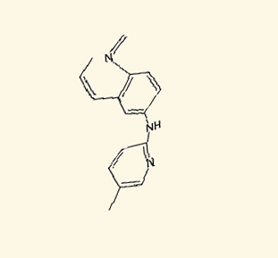 C=Nc1ccc(Nc2ccc(C)cn2)cc1/C=C\C